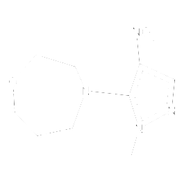 Cn1ncc([N+](=O)[O-])c1N1CCCOCC1